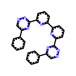 c1ccc(-c2cnnc(-c3cccc(-c4cccc(-c5nncc(-c6ccccc6)n5)n4)n3)n2)cc1